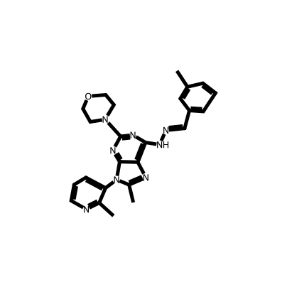 Cc1cccc(C=NNc2nc(N3CCOCC3)nc3c2nc(C)n3-c2cccnc2C)c1